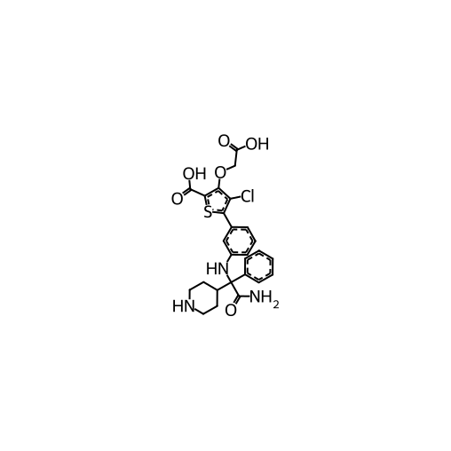 NC(=O)C(Nc1cccc(-c2sc(C(=O)O)c(OCC(=O)O)c2Cl)c1)(c1ccccc1)C1CCNCC1